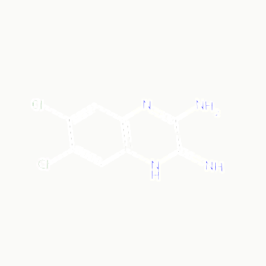 N=c1[nH]c2cc(Cl)c(Cl)cc2nc1N